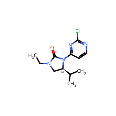 CCN1C[C@H](C(C)C)N(c2ccnc(Cl)n2)C1=O